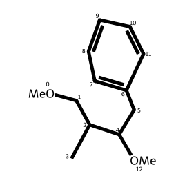 COCC(C)C(Cc1ccccc1)OC